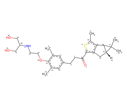 Cc1cc(CCC(=O)c2sc(C)c3c2C[C@@H]2C3C2(C)C)cc(C)c1OCCNC(CO)CO